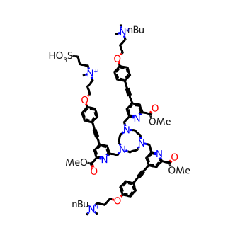 CCCC[N+](C)(C)CCCOc1ccc(C#Cc2cc(CN3CCN(Cc4cc(C#Cc5ccc(OCCC[N+](C)(C)CCCC)cc5)cc(C(=O)OC)n4)CCN(Cc4cc(C#Cc5ccc(OCCC[N+](C)(C)CCCS(=O)(=O)O)cc5)cc(C(=O)OC)n4)CC3)nc(C(=O)OC)c2)cc1